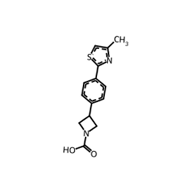 Cc1csc(-c2ccc(C3CN(C(=O)O)C3)cc2)n1